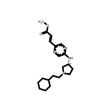 COC(=O)/C=C/c1cnc(N[C@@H]2CCN(CCC3CCCCC3)C2)cn1